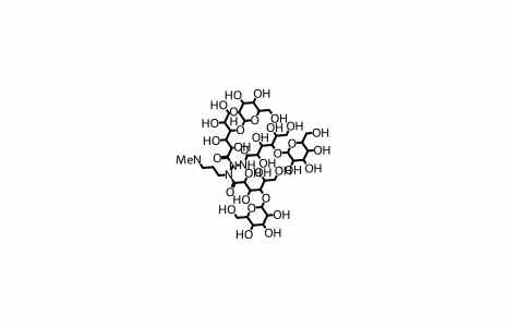 CNCCCN(C(=O)C(O)C(O)C(OC1OC(CO)C(O)C(O)C1O)C(O)CO)N(NC(=O)C(O)C(O)C(OC1OC(CO)C(O)C(O)C1O)C(O)CO)C(=O)C(O)C(O)C(OC1OC(CO)C(O)C(O)C1O)C(O)CO